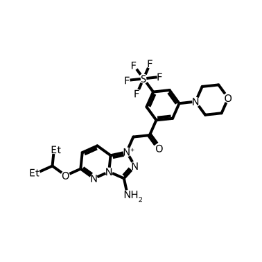 CCC(CC)Oc1ccc2n(n1)c(N)n[n+]2CC(=O)c1cc(N2CCOCC2)cc(S(F)(F)(F)(F)F)c1